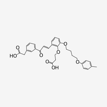 Cc1ccc(OCCCCOc2cccc(C=CC(=O)c3cccc(CC(=O)O)c3)c2OCCC(=O)O)cc1